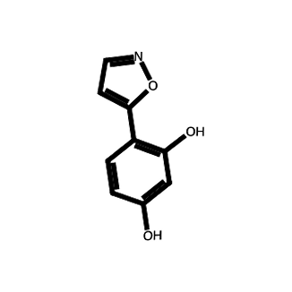 Oc1ccc(-c2ccno2)c(O)c1